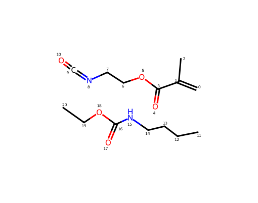 C=C(C)C(=O)OCCN=C=O.CCCCNC(=O)OCC